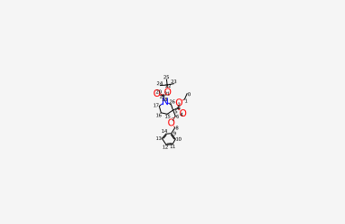 CCOC(=O)C1(COCc2ccccc2)CCCN(C(=O)OC(C)(C)C)C1